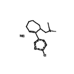 CN(C)CC1CCCCC=C1c1ccc(Cl)nc1.Cl